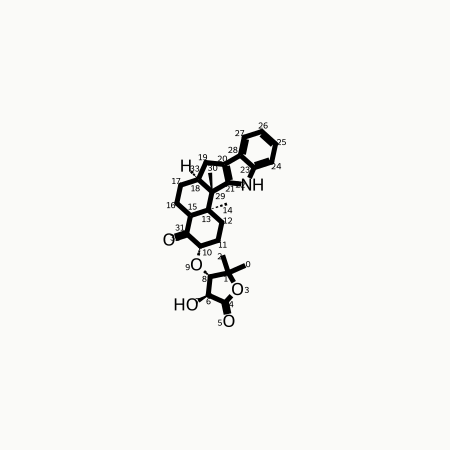 CC1(C)OC(=O)[C@@H](O)[C@@H]1O[C@H]1CC[C@@]2(C)C(CC[C@H]3Cc4c([nH]c5ccccc45)[C@@]32C)C1=O